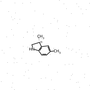 Cc1ccc2c(c1)[C@@H](C)CN2